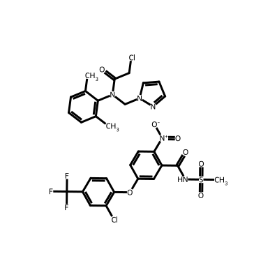 CS(=O)(=O)NC(=O)c1cc(Oc2ccc(C(F)(F)F)cc2Cl)ccc1[N+](=O)[O-].Cc1cccc(C)c1N(Cn1cccn1)C(=O)CCl